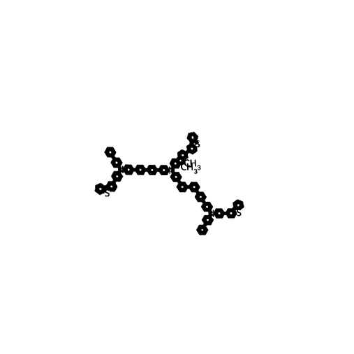 CC1(C)c2cc(-c3ccc4sc5ccccc5c4c3)ccc2-c2ccc(N(c3ccc(-c4ccc(-c5ccc(-c6ccc(N(c7ccc(-c8ccccc8)cc7)c7ccc(-c8ccc9sc%10ccccc%10c9c8)cc7)cc6)cc5)cc4)cc3)c3ccc(-c4cccc(-c5cccc(-c6ccc(-c7ccc(N(c8ccc(-c9ccccc9)cc8)c8ccc(-c9ccc%10sc%11ccccc%11c%10c9)cc8)cc7)cc6)c5)c4)cc3)cc21